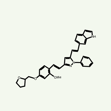 COc1cc(OCC2CCCO2)ccc1C=Cc1cc(C=Cc2ccc3cc[nH]c3c2)n(-c2ccccc2)n1